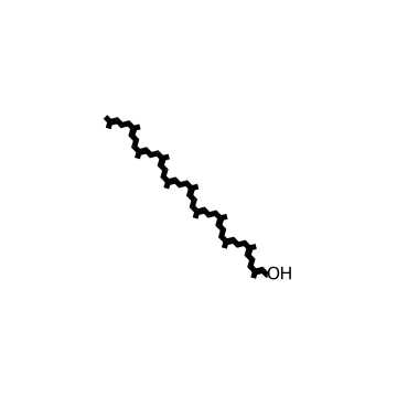 CC(C)=CCCC(C)=CCCC(C)=CCCC(C)=CCCC(C)=CCCC(C)=CCCC(C)=CCCC(C)=CCCC(C)=CCCC(C)=CCCC(C)=CCO